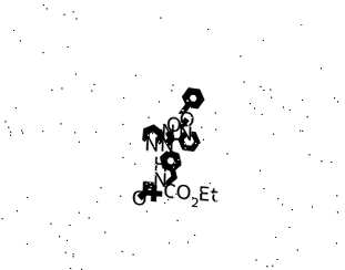 CCOC(=O)[C@H](Cc1ccc(-n2c([C@@H]3CCCCN3C(=O)OCc3ccccc3)nc3cccnc32)cc1)NC1=CC(=O)C1(C)C